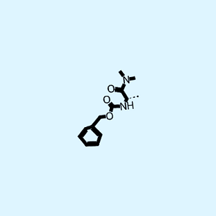 C[C@H](NC(=O)OCc1ccccc1)C(=O)N(C)C